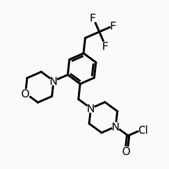 O=C(Cl)N1CCN(Cc2ccc(CC(F)(F)F)cc2N2CCOCC2)CC1